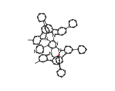 Cc1ccc2c(c1)c1cc(C)ccc1n2-c1c(-n2c3ccc(-c4ccccc4)cc3c3cc(-c4ccccc4)ccc32)nc(-n2c3ccc(-c4ccccc4)cc3c3cc(-c4ccccc4)ccc32)c(-n2c3ccc(C)cc3c3cc(C)ccc32)c1-c1ccncc1